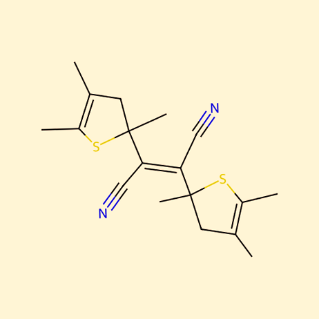 CC1=C(C)SC(C)(/C(C#N)=C(\C#N)C2(C)CC(C)=C(C)S2)C1